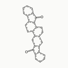 O=c1c2ccccc2c2cc3ccc4c(ccc5c6ccccc6c(=O)c54)c3cc12